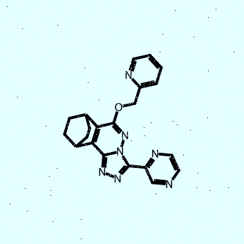 c1ccc(COc2nn3c(-c4cnccn4)nnc3c3c2C2CCC3CC2)nc1